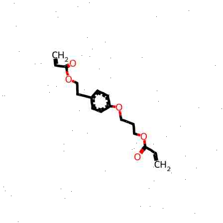 C=CC(=O)OCCCOc1ccc(CCOC(=O)C=C)cc1